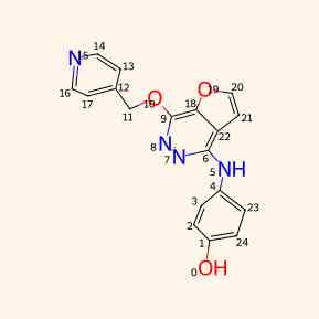 Oc1ccc(Nc2nnc(OCc3ccncc3)c3occc23)cc1